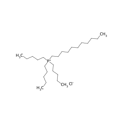 CCCCCCCCCCC[P+](CCCCC)(CCCCC)CCCCC.[Cl-]